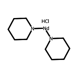 C1CC[N]([Nd][N]2CCCCC2)CC1.Cl